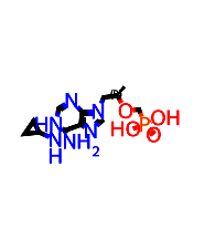 C[C@H](Cn1cnc2c1N=CNC2(N)NC1CC1)OCP(=O)(O)O